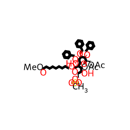 COC(=O)CCCCCCCCO[C@H]1O[C@H](COS(C)(=O)=O)[C@@H](O)[C@H](OC(C)=O)[C@]1(O)[C@@H]1O[C@H](COC(C)=O)[C@@H](OCc2ccccc2)[C@H](OCc2ccccc2)[C@H]1OCc1ccccc1